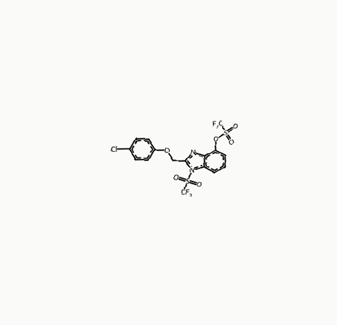 O=S(=O)(Oc1cccc2c1nc(COc1ccc(Cl)cc1)n2S(=O)(=O)C(F)(F)F)C(F)(F)F